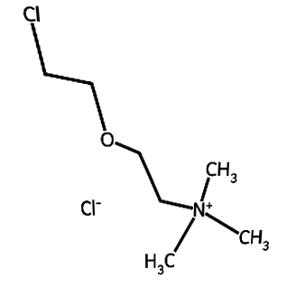 C[N+](C)(C)CCOCCCl.[Cl-]